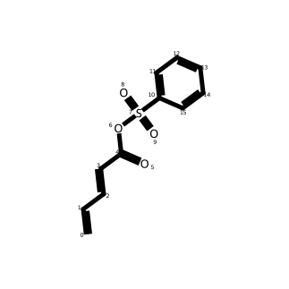 C=CC=CC(=O)OS(=O)(=O)c1ccccc1